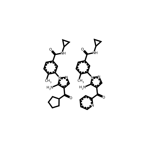 Cc1ccc(C(=O)NC2CC2)cc1-n1ncc(C(=O)C2CCCC2)c1N.Cc1ccc(C(=O)NC2CC2)cc1-n1ncc(C(=O)c2ccccn2)c1N